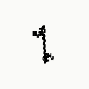 CC(C)O[SiH2]CCCCCCCC[SiH2]OC(C)C